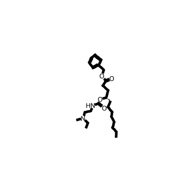 CCCCCCCC[C@@H](CCC(=O)OCc1ccccc1)OC(=O)NCCN(C)CC